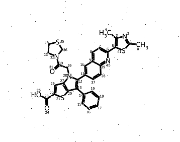 Cc1nc(C)c(-c2ccc3cc(-c4c(-c5ccccc5)c5sc(C(=O)O)cc5n4CC(=O)N4CCSC4)ccc3n2)s1